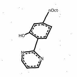 CCCCCCCCc1ccc(-c2ncccn2)c(O)c1